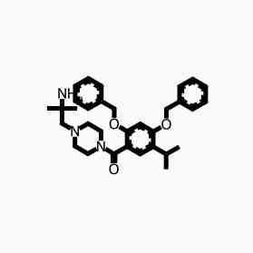 CC(C)c1cc(C(=O)N2CCN(CC(C)(C)N)CC2)c(OCc2ccccc2)cc1OCc1ccccc1